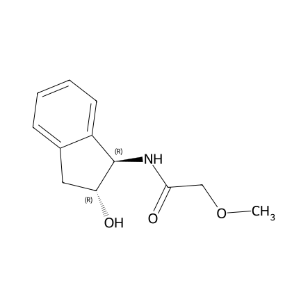 COCC(=O)N[C@@H]1c2ccccc2C[C@H]1O